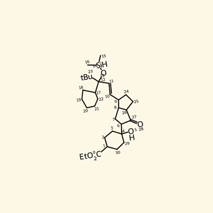 CCOC(=O)C1CCC(O)(C2CC3C(C=CC(O[SiH](C)C)(C4CCCCC4)C(C)(C)C)CCC3C2=O)CC1